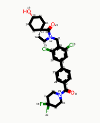 O=C(c1ccc(-c2cc(Cl)c(CN3CC[C@]4(CC[C@@H](O)CC4)C3=O)c(Cl)c2)cc1)N1CCC(F)(F)CC1